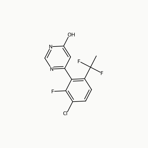 CC(F)(F)c1ccc(Cl)c(F)c1-c1cc(O)ncn1